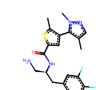 Cc1cnn(C)c1-c1cc(C(=O)N[C@H](CN)Cc2ccc(F)c(F)c2)sc1C